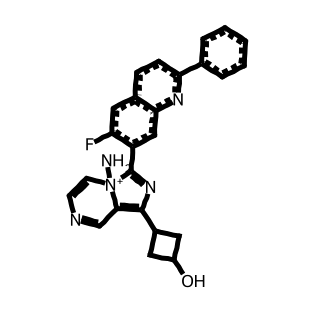 N[N+]12C=CN=CC1=C(C1CC(O)C1)N=C2c1cc2nc(-c3ccccc3)ccc2cc1F